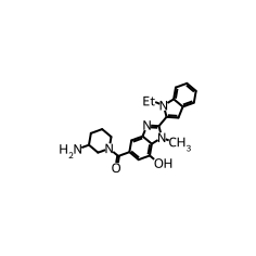 CCn1c(-c2nc3cc(C(=O)N4CCCC(N)C4)cc(O)c3n2C)cc2ccccc21